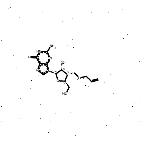 C=CCOC[C@H]1[C@@H](O)[C@H](n2cnc3c(=O)[nH]c(N)nc32)O[C@@H]1CO